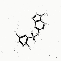 Cn1ncc2cc(NS(=O)(=O)c3cc(F)ccc3F)cnc21